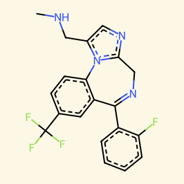 CNCc1cnc2n1-c1ccc(C(F)(F)F)cc1C(c1ccccc1F)=NC2